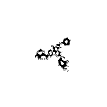 CCc1c(N2CCN(C(=O)c3ncnc(C)c3O)CC2)c(=O)n2nc(Oc3ccccc3)nc2n1CC(=O)Nc1ccc(C(F)(F)F)cc1Cl